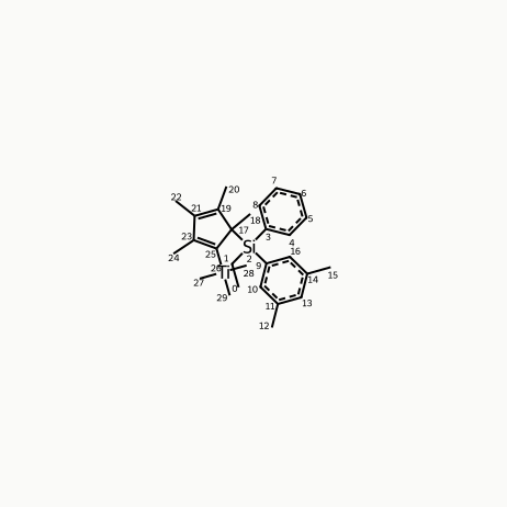 CC[Si](c1ccccc1)(c1cc(C)cc(C)c1)C1(C)C(C)=C(C)C(C)=[C]1[Ti]([CH3])([CH3])[CH3]